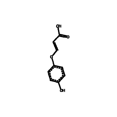 O=C(O)C=COc1ccc(O)cc1